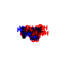 CC[C@H](C)[C@H](NC(=O)CNC(=O)[C@H](Cc1ccccc1)NC(=O)CNC(=O)CNC(=O)[C@H](CO)NC(=O)[C@H](CO)NC(=O)[C@@H](NC(=O)[C@@H]1CCCN1C(=O)[C@@H](NC(=O)CNC(=O)[C@H](CCC(=O)O)NC(=O)[C@H](CCC(=O)O)NC(=O)[C@H](CO)NC(=O)[C@H](CC(C)C)NC(=O)[C@@H](NC(=O)[C@H](CO)NC(=O)CNC(=O)[C@@H](NC(=O)[C@H](C)NC(=O)[C@H](C)NC(=O)[C@@H](N)CO)C(C)C)[C@@H](C)CC)C(C)C)[C@@H](C)CC)C(=O)N[C@@H](CO)C(=O)O